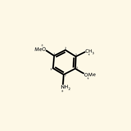 COc1cc(C)c(OC)c(N)c1